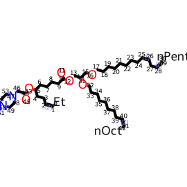 CC/C=C\CCC(CCCCC(=O)OCC(COCCCCCCCC/C=C\C/C=C\CCCCC)OCCCCCCCC/C=C\CCCCCCCC)OC(=O)CN1CCN(C)CC1